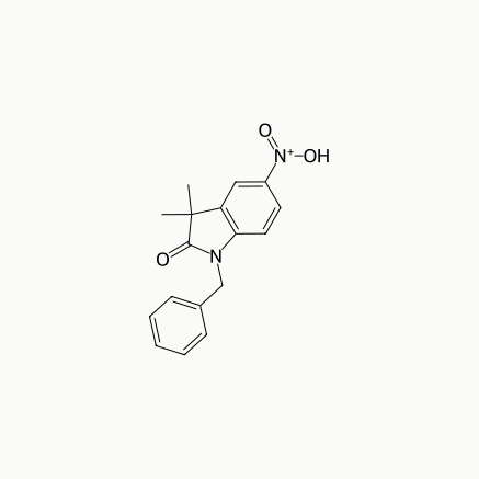 CC1(C)C(=O)N(Cc2ccccc2)c2ccc([N+](=O)O)cc21